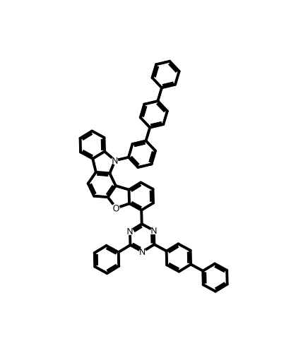 c1ccc(-c2ccc(-c3cccc(-n4c5ccccc5c5ccc6oc7c(-c8nc(-c9ccccc9)nc(-c9ccc(-c%10ccccc%10)cc9)n8)cccc7c6c54)c3)cc2)cc1